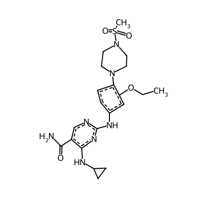 CCOc1cc(Nc2ncc(C(N)=O)c(NC3CC3)n2)ccc1N1CCN(S(C)(=O)=O)CC1